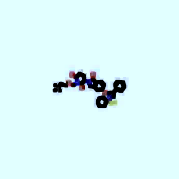 C[Si](C)(C)CCOCN1C(=O)CCC(N2Cc3cc(O[C@H]4CCCC[C@@]4(S)N4CC(c5ccccc5)C4)ccc3C2=O)C1=O